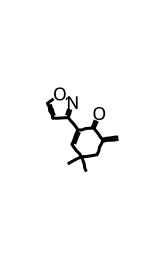 C=C1CC(C)(C)C=C(c2ccon2)C1=O